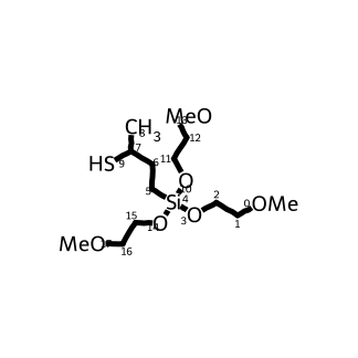 COCCO[Si](CCC(C)S)(OCCOC)OCCOC